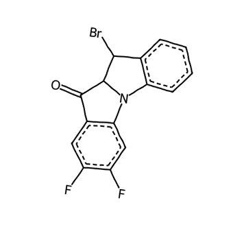 O=C1c2cc(F)c(F)cc2N2c3ccccc3C(Br)C12